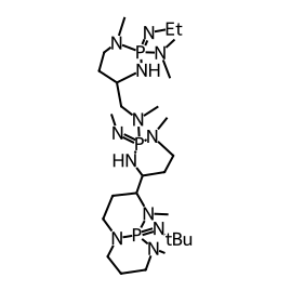 CCN=P1(N(C)C)NC(CN(C)P2(=NC)NC(C3CCN4CCCN(C)P4(=NC(C)(C)C)N3C)CCN2C)CCN1C